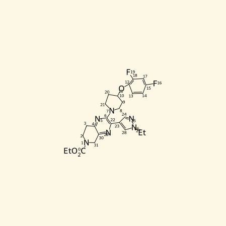 CCOC(=O)N1CCc2nc(N3CCC(Oc4ccc(F)cc4F)CC3)c(-c3cnn(CC)c3)nc2C1